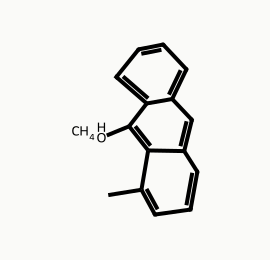 C.Cc1cccc2cc3ccccc3c(O)c12